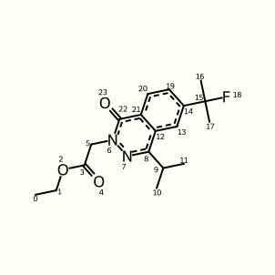 CCOC(=O)Cn1nc(C(C)C)c2cc(C(C)(C)F)ccc2c1=O